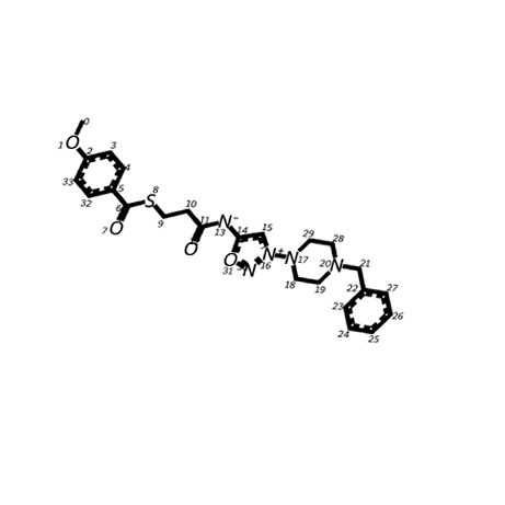 COc1ccc(C(=O)SCCC(=O)[N-]c2c[n+](N3CCN(Cc4ccccc4)CC3)no2)cc1